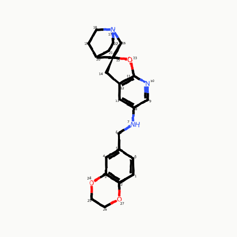 c1cc2c(cc1CNc1cnc3c(c1)C[C@@]1(CN4CCC1CC4)O3)OCCO2